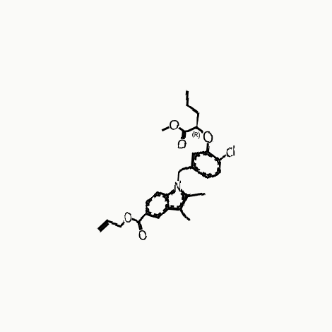 C=CCOC(=O)c1ccc2c(c1)c(C)c(C)n2Cc1ccc(Cl)c(O[C@H](CCC)C(=O)OC)c1